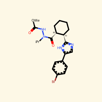 COC(=O)NN(C(=O)[C@@H]1CCCC[C@@H]1c1ncc(-c2ccc(Br)cc2)[nH]1)C(C)C